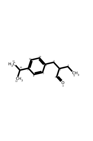 CCC(C=O)Cc1ccc(C(C)C)cc1